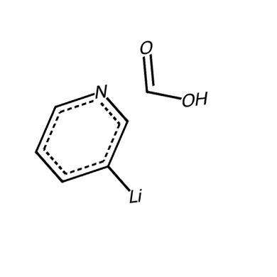 O=CO.[Li][c]1cccnc1